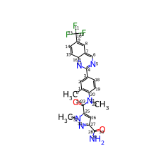 Cc1cc(-c2ncc3cc(C(F)(F)F)ccc3n2)ccc1N(C)C(=O)c1cc(C(N)=O)nn1C